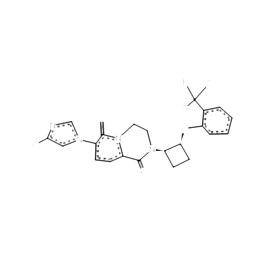 Cc1cn(-c2ccc3n(c2=O)CCN([C@@H]2CC[C@@H]2Oc2ccccc2C(F)(F)F)C3=O)cn1